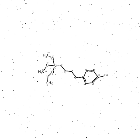 CCO[Si](CCCCc1ccc(F)cc1)(OC)OC